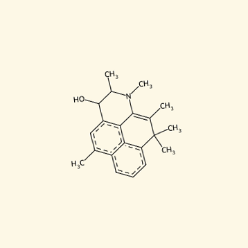 CC1=C2c3c(cc(C)c4cccc(c34)C1(C)C)C(O)C(C)N2C